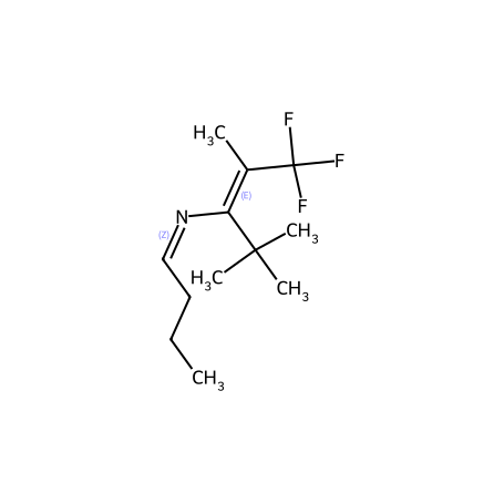 CCC/C=N\C(=C(/C)C(F)(F)F)C(C)(C)C